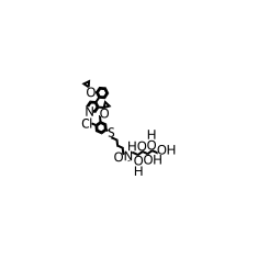 CN(CC(O)C(O)C(O)C(O)CO)C(=O)CCCCSc1ccc(Cl)c(COC2(c3cnccc3-c3ccccc3OC3CC3)CC2)c1